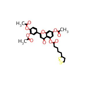 CC(=O)Oc1cc(OC(=O)CCCCC2CCSS2)c2c(=O)cc(-c3ccc(OC(C)=O)c(OC(C)=O)c3)oc2c1